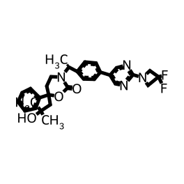 C[C@@H](c1ccc(-c2cnc(N3CC(F)(F)C3)nc2)cc1)N1CCC(CC(C)(C)O)(c2ccccc2)OC1=O